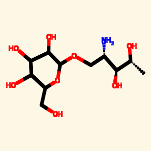 C[C@@H](O)[C@@H](O)[C@@H](N)COC1OC(CO)C(O)C(O)C1O